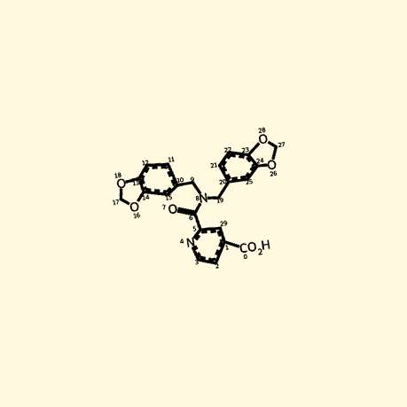 O=C(O)c1ccnc(C(=O)N(Cc2ccc3c(c2)OCO3)Cc2ccc3c(c2)OCO3)c1